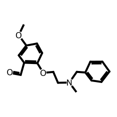 COc1ccc(OCCN(C)Cc2ccccc2)c(C=O)c1